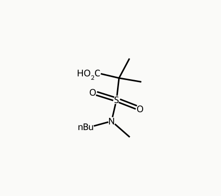 CCCCN(C)S(=O)(=O)C(C)(C)C(=O)O